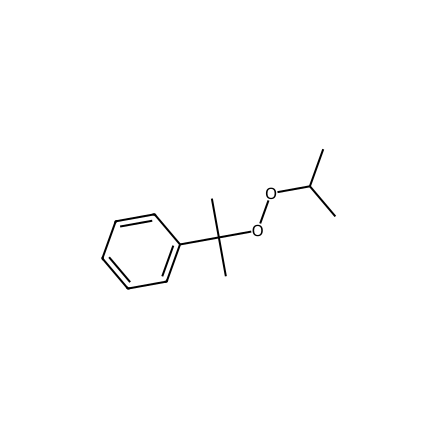 CC(C)OOC(C)(C)c1ccccc1